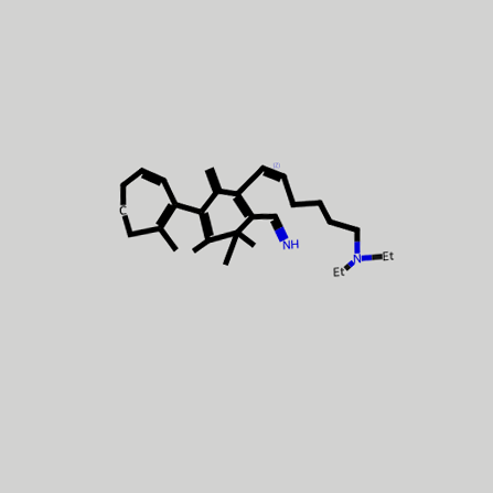 C=C1C(/C=C\CCCCN(CC)CC)=C(C=N)C(C)(C)C(C)=C1C1=C(C)CCCC=C1